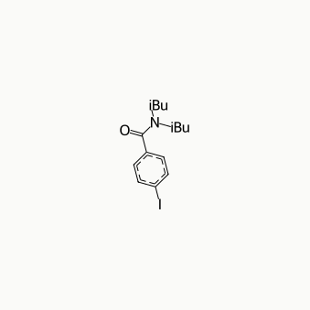 CCC(C)N(C(=O)c1ccc(I)cc1)C(C)CC